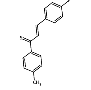 Cc1ccc(C(=S)C=Cc2ccc(F)cc2)cc1